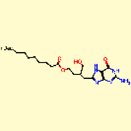 CCCCCCCCCCCCCCCCCC(=O)OCCC(CO)Cc1nc2nc(N)[nH]c(=O)c2[nH]1